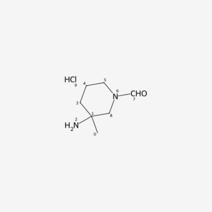 CC1(N)CCCN(C=O)C1.Cl